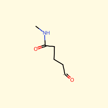 CNC(=O)CCC[C]=O